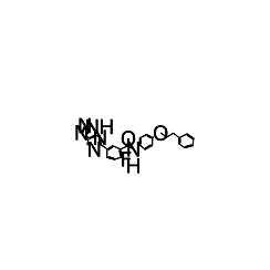 O=C(Nc1ccc(OCCc2ccccc2)cc1)c1cc(-c2ncc3nn[nH]c3n2)ccc1F